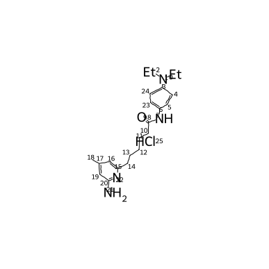 CCN(CC)c1ccc(NC(=O)CCCCCc2cc(C)cc(N)n2)cc1.Cl